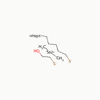 CCCCCCCCCCCC[S-].OCC[S-].[CH3][Sn+2][CH3]